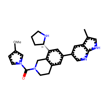 COc1ccn(C(=O)N2CCc3cc(-c4cnc5[nH]cc(C)c5c4)cc([C@@H]4CCCN4)c3C2)c1